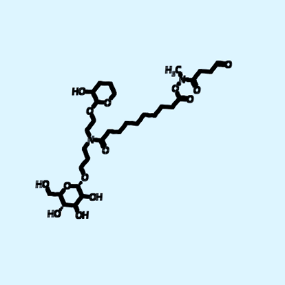 CN(OC(=O)CCCCCCCCC(=O)N(CCCO[C@H]1OC(CO)[C@@H](O)C(O)C1O)CCOC1OCCCC1O)C(=O)CCC=O